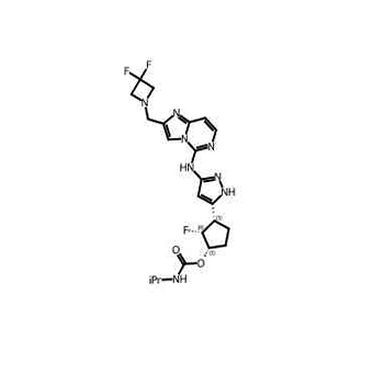 CC(C)NC(=O)O[C@H]1CC[C@@H](c2cc(Nc3nccc4nc(CN5CC(F)(F)C5)cn34)n[nH]2)[C@H]1F